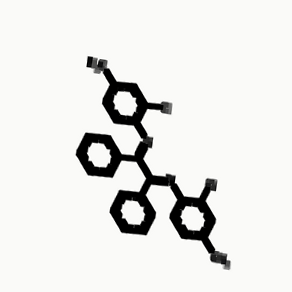 Cc1ccc(/N=C(/C(=N/c2ccc(C)cc2Cl)c2ccccc2)c2ccccc2)c(Cl)c1